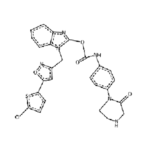 O=C(Nc1ccc(N2CCNCC2=O)cc1)Oc1nc2ccccc2n1Cc1cc(-c2ccc(Cl)s2)on1